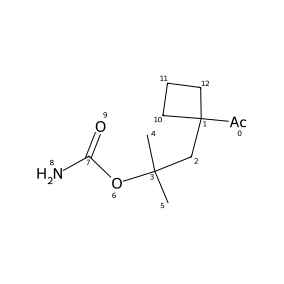 CC(=O)C1(CC(C)(C)OC(N)=O)CCC1